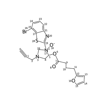 C#CCN1CC(OC(=O)CCCc2ccco2)[N+]([O-])(c2nc3cccc(Br)c3s2)C1